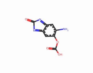 Nc1cc2c(cc1OC(=O)O)=NC(=O)N=2